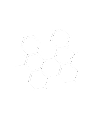 Cc1c2c(c(-c3c4c(nc5ccccc35)=CCCC=4)c3ccccc13)=CCCC=2